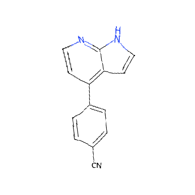 N#Cc1ccc(-c2ccnc3[nH]ccc23)cc1